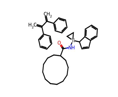 C=C(C(=C)c1ccccc1)c1ccccc1.O=C([NH][Ti]1([CH]2C=Cc3ccccc32)[CH2][CH2]1)C1CCCCCCCCCCC1